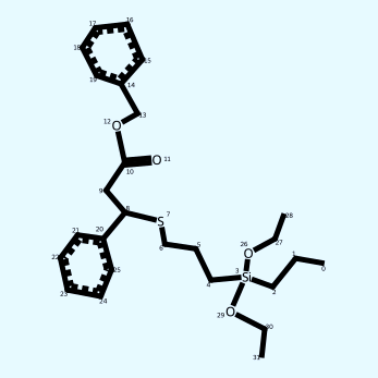 CCC[Si](CCCSC(CC(=O)OCc1ccccc1)c1ccccc1)(OCC)OCC